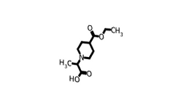 CCOC(=O)C1CCN(C(C)C(=O)O)CC1